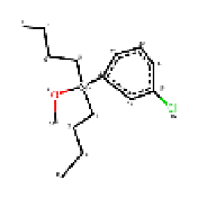 CCCC[Si](CCCC)(OC)c1cccc(Cl)c1